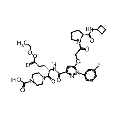 CCOOC(=O)CC[C@H](NC(=O)c1cc(OCC(=O)N2CCC[C@H]2C(=O)NC2CCC2)n(-c2cccc(F)c2)n1)C(=O)N1CCN(C(=O)O)CC1